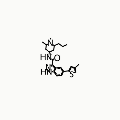 CCCC1C[C@@H](NC(=O)c2n[nH]c3ccc(-c4cc(C)cs4)cc23)CC(C)N1C